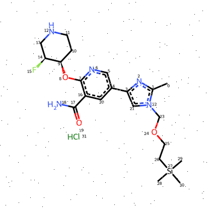 Cc1nc(-c2cnc(O[C@@H]3CCNC[C@@H]3F)c(C(N)=O)c2)cn1COCC[Si](C)(C)C.Cl